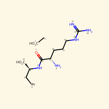 CC(=O)O.CC(C)C[C@H](NC(=O)[C@@H](N)CCCNC(=N)N)C(=O)O